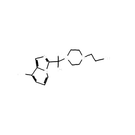 CCCN1CCN(C(C)(C)c2ncc3c(C)cccn23)CC1